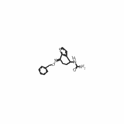 NC(=O)NC1CCC(=NOCc2ccccc2)c2sccc21